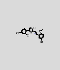 COc1ccc(Br)cc1/C=C/c1nc(-c2ccc(Cl)cc2Cl)c[nH]1